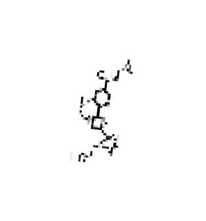 CN(C)/C=C/C(=O)c1ccc2c(c1)OCCn1cc(-c3ncnn3CCO)nc1-2